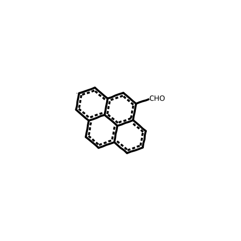 O=Cc1cc2c[c]cc3ccc4cccc1c4c32